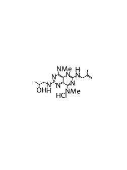 C=C(C)CNc1nc(NC)c2nc(NCC(C)O)nc(NC)c2n1.Cl